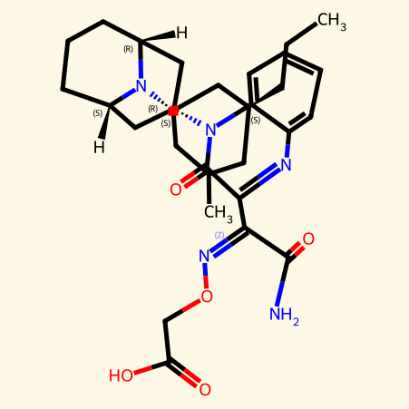 CCC[C@H]1CC(C)C[C@H](N2[C@@H]3CCC[C@H]2C[C@@H](n2c(=O)c(/C(=N/OCC(=O)O)C(N)=O)nc4ccccc42)C3)C1